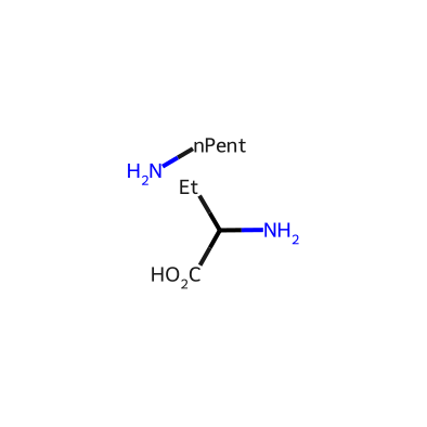 CCC(N)C(=O)O.CCCCCN